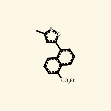 CCOC(=O)c1cccc2c(-c3cc(C)no3)cccc12